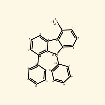 Nc1cccc2c1c1cccc(-c3ccccc3)c1n2-c1ccccc1